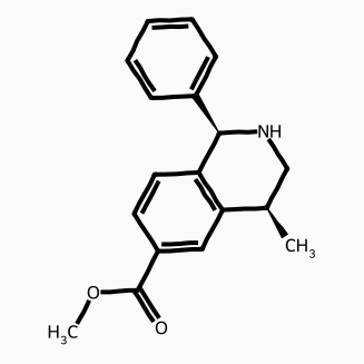 COC(=O)c1ccc2c(c1)[C@H](C)CN[C@@H]2c1ccccc1